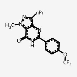 CCCc1nn(C)c2c(=O)[nH]c(-c3ccc(OC(F)(F)F)cc3)nc12